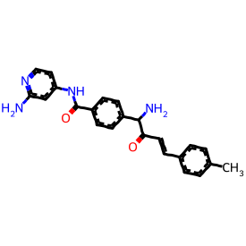 Cc1ccc(/C=C/C(=O)C(N)c2ccc(C(=O)Nc3ccnc(N)c3)cc2)cc1